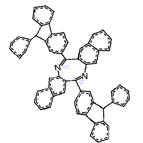 c1ccc(C2c3ccccc3-c3ccc(/C4=N/c5cc6ccccc6cc5/C(c5ccc6c(c5)C(c5ccccc5)c5ccccc5-6)=N\c5cc6ccccc6cc54)cc32)cc1